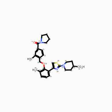 Cc1cc(C(=O)N2CCCC2)ccc1COc1c(C)cccc1-c1csc(N2CCC(C(=O)O)CC2)n1